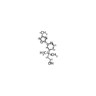 Cc1noc(-c2cc(C(C)(C)CCO)ccn2)n1